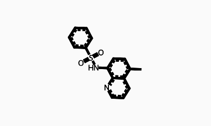 Cc1ccc(NS(=O)(=O)c2ccccc2)c2ncccc12